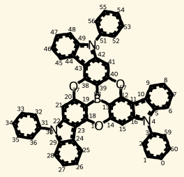 c1ccc(-n2c3ccccc3c3c4c5c(cc32)Oc2c3c(cc6c2c2ccccc2n6-c2ccccc2)Oc2c(c(cc6c2c2ccccc2n6-c2ccccc2)O4)B53)cc1